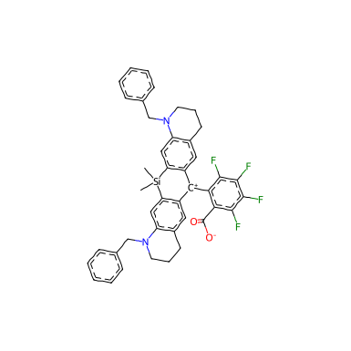 C[Si]1(C)c2cc3c(cc2[C+](c2c(F)c(F)c(F)c(F)c2C(=O)[O-])c2cc4c(cc21)N(Cc1ccccc1)CCC4)CCCN3Cc1ccccc1